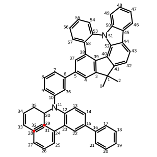 CC1(C)c2cc(-c3cccc(N(c4ccc(-c5ccccc5)cc4-c4ccccc4)C4C=CC=CC4)c3)cc3c2-c2c1ccc1c4ccccc4n(c21)-c1ccccc1-3